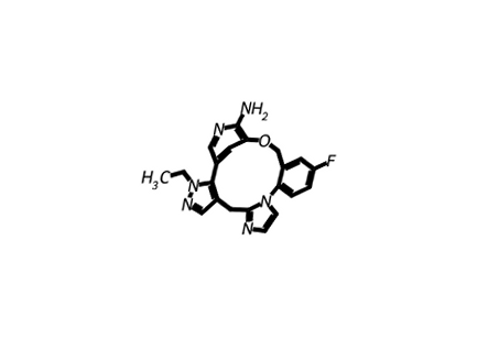 CCn1ncc2c1-c1cnc(N)c(c1)OCc1cc(F)ccc1-n1ccnc1C2